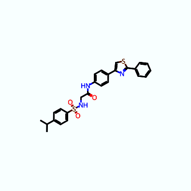 CC(C)c1ccc(S(=O)(=O)NCC(=O)Nc2ccc(-c3csc(-c4ccccc4)n3)cc2)cc1